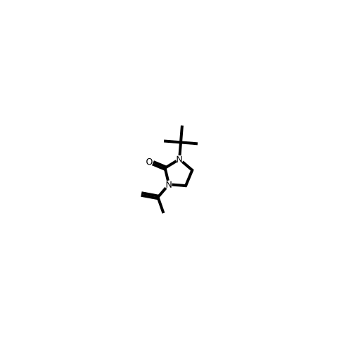 C=C(C)N1CCN(C(C)(C)C)C1=O